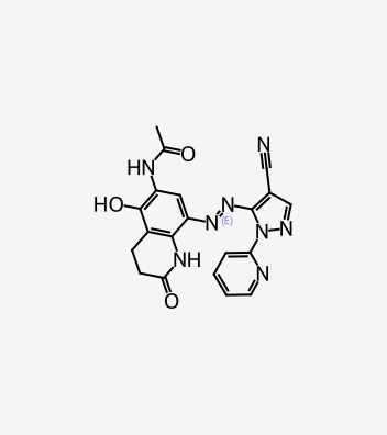 CC(=O)Nc1cc(/N=N/c2c(C#N)cnn2-c2ccccn2)c2c(c1O)CCC(=O)N2